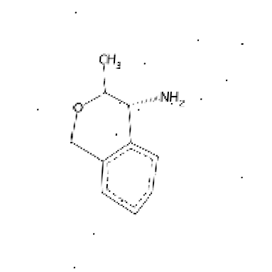 CC1OCc2ccccc2[C@H]1N